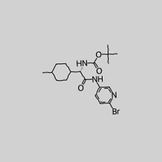 CC1CCC([C@H](NC(=O)OC(C)(C)C)C(=O)Nc2ccc(Br)nc2)CC1